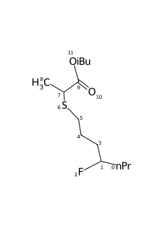 CCCC(F)CCCSC(C)C(=O)OCC(C)C